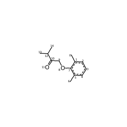 Cc1cccc(C)c1OCC(=O)C(C)C